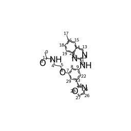 CC(=O)NCCOc1cc(Nc2ncc3cc(C)ccc3n2)cc(-c2ncco2)c1